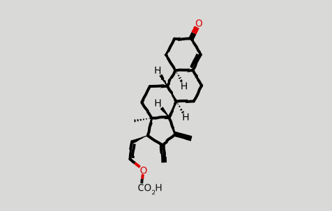 C=C1C(=C)[C@H]2[C@@H]3CCC4=CC(=O)CC[C@@H]4[C@H]3CC[C@]2(C)[C@@H]1/C=C\OC(=O)O